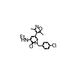 CCNc1cc(-c2c(C)noc2C)cn(Cc2ccc(Cl)cc2)c1=O